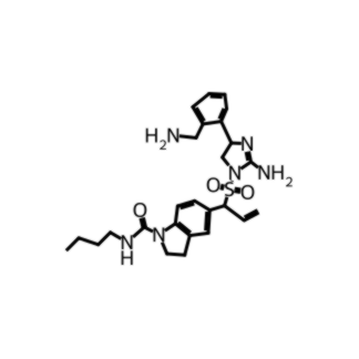 C=CC(c1ccc2c(c1)CCN2C(=O)NCCCC)S(=O)(=O)N1CC(c2ccccc2CN)N=C1N